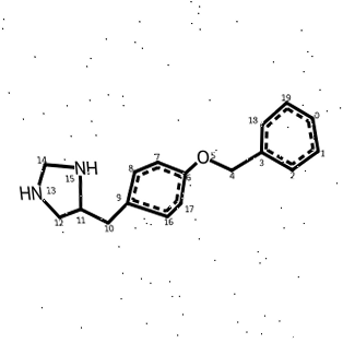 c1ccc(COc2ccc(CC3CNCN3)cc2)cc1